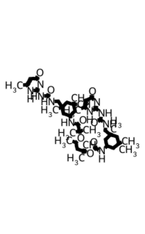 Cc1cc(=O)nc(NC(=O)NCC2(C)CC(NC(=O)OC(C)(C)CC(C)OC(C)(C)C(=O)NC3CC(C)(C)CC(C)(CNC(=O)Nc4nc(=O)cc(C)[nH]4)C3)CC(C)(C)C2)[nH]1